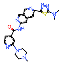 CN1CCN(c2cc(C(=O)Nc3cc4cc(-c5nnc(N(C)C)s5)ncc4cn3)ccn2)CC1